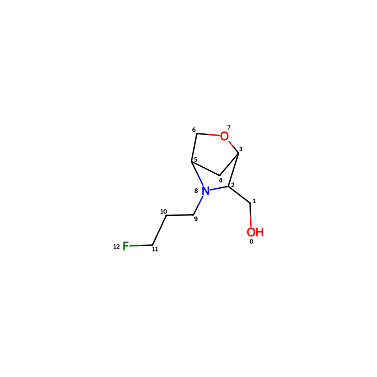 OCC1C2CC(CO2)N1CCCF